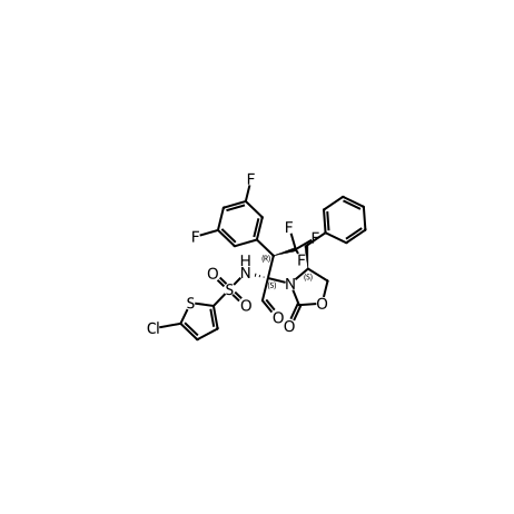 O=C[C@@](NS(=O)(=O)c1ccc(Cl)s1)([C@@H](c1cc(F)cc(F)c1)C(F)(F)F)N1C(=O)OC[C@@H]1Cc1ccccc1